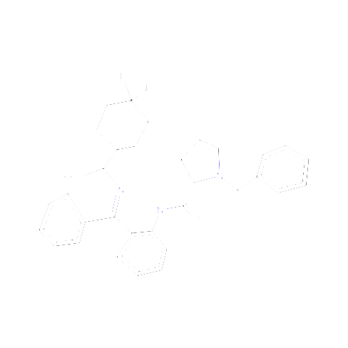 O=C(O)C(/N=C(\c1ccccc1)c1ccccc1NC(=O)[C@@H]1CCCN1Cc1ccccc1)C1CCC(F)(F)CC1